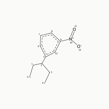 [CH2]CC(CC)c1cccc([N+](=O)[O-])c1